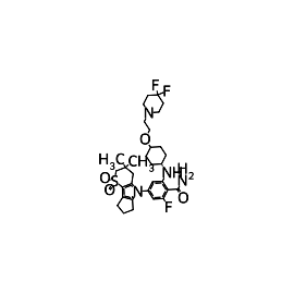 CC1(C)Cc2c(c3c(n2-c2cc(F)c(C(N)=O)c(N[C@H]4CC[C@H](OCCN5CCC(F)(F)CC5)CC4)c2)CCC3)S(=O)(=O)C1